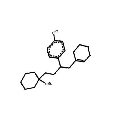 CCCCC1(CCC(CC2=CCCCC2)c2ccc(CCC)cc2)CCCCC1